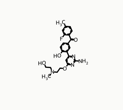 Cc1ccc(C(=O)c2ccc(O)c(-c3cc(OCCN(C)CCO)nc(N)n3)c2)c(F)c1